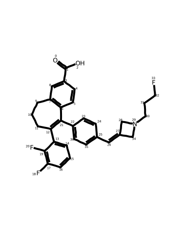 O=C(O)c1ccc2c(c1)CCCC(c1cccc(F)c1F)=C2c1ccc(C=C2CN(CCCF)C2)cc1